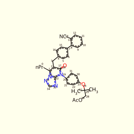 CCCc1c(Cc2ccc(-c3ccccc3C#N)cc2)c(=O)n(-c2ccc(OC(C)(C)COC(C)=O)cc2)c2ncnn12